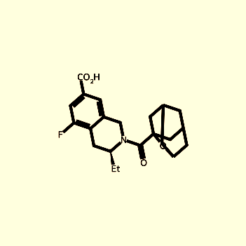 CC[C@H]1Cc2c(F)cc(C(=O)O)cc2CN1C(=O)C12CC3CC(CC(C3)O1)C2